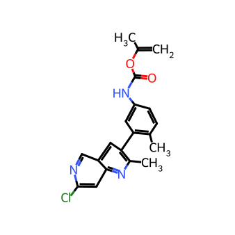 C=C(C)OC(=O)Nc1ccc(C)c(-c2cc3cnc(Cl)cc3nc2C)c1